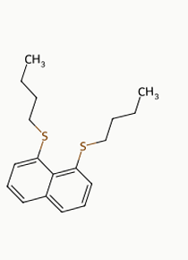 CCCCSc1cccc2cccc(SCCCC)c12